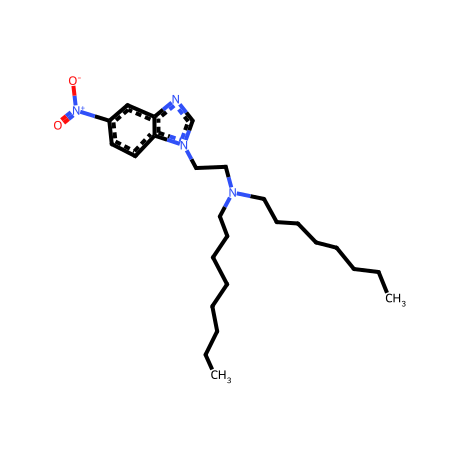 CCCCCCCCN(CCCCCCCC)CCn1cnc2cc([N+](=O)[O-])ccc21